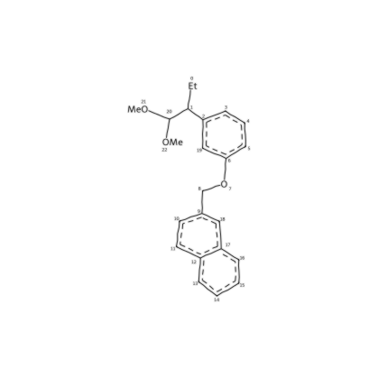 CCC(c1cccc(OCc2ccc3ccccc3c2)c1)C(OC)OC